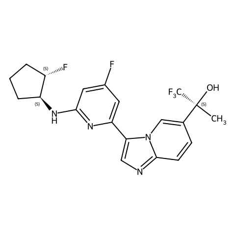 C[C@](O)(c1ccc2ncc(-c3cc(F)cc(N[C@H]4CCC[C@@H]4F)n3)n2c1)C(F)(F)F